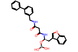 O=C(CC(=O)N[C@@H](Cc1coc2ccccc12)OB(O)O)NCc1cccc(-c2ccccc2)c1